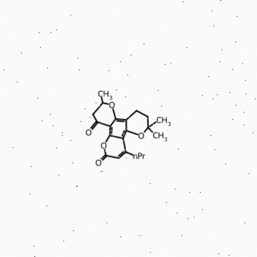 CCCc1cc(=O)oc2c3c(c4c(c12)OC(C)(C)CC4)OC(C)CC3=O